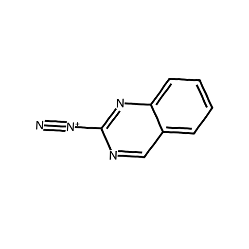 N#[N+]c1ncc2ccccc2n1